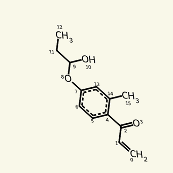 C=CC(=O)c1ccc(OC(O)CC)cc1C